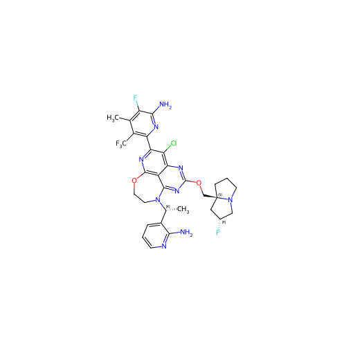 Cc1c(F)c(N)nc(-c2nc3c4c(nc(OC[C@@]56CCCN5C[C@H](F)C6)nc4c2Cl)N([C@H](C)c2cccnc2N)CCO3)c1C(F)(F)F